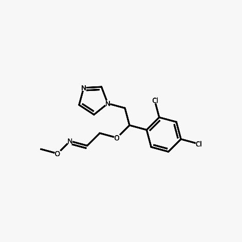 CON=CCOC(Cn1ccnc1)c1ccc(Cl)cc1Cl